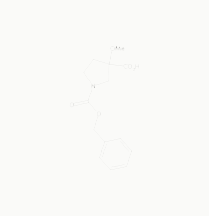 COC1(C(=O)O)CCN(C(=O)OCc2ccccc2)C1